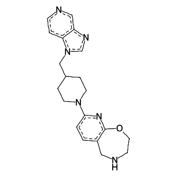 c1cc2c(cn1)ncn2CC1CCN(c2ccc3c(n2)OCCNC3)CC1